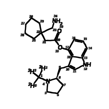 [2H]C([2H])([2H])N1CCC[C@@H]1Cc1c[nH]c2cccc(OC(=O)CC3(CN)CCCCC3)c12